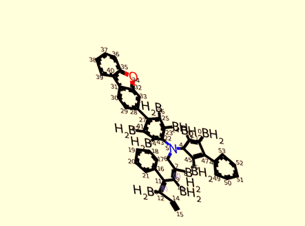 BC1=C(B)C(N(C/C(B)=C(B)\C(=C(\B)C#C)c2ccccc2)c2c(B)c(B)c(-c3ccc4c(c3)oc3ccccc34)c(B)c2B)C(B)=C1c1ccccc1